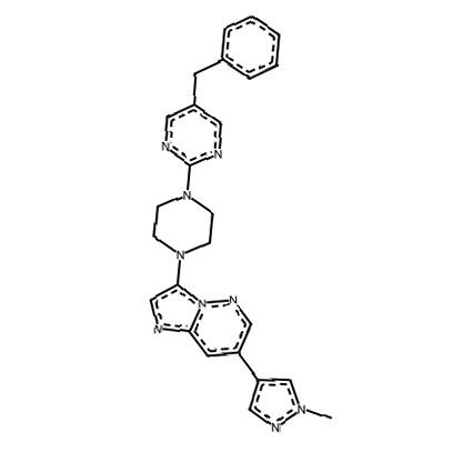 Cn1cc(-c2cnn3c(N4CCN(c5ncc(Cc6ccccc6)cn5)CC4)cnc3c2)cn1